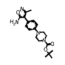 Cc1noc(N)c1-c1ccc(N2CCN(C(=O)OC(C)(C)C)CC2)cc1